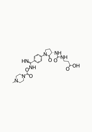 CN1CCN(C(=O)ONC(=N)c2ccc(N3CC[C@H](NC(=O)NCCC(=O)O)C3=O)cc2)CC1